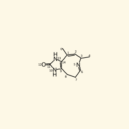 C/C1=C/C(C)/N=C/CCc2[nH]c(=O)[nH]c21